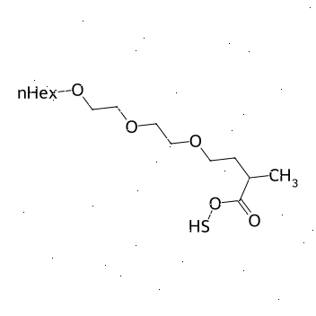 CCCCCCOCCOCCOCCC(C)C(=O)OS